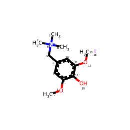 COc1cc(C[N+](C)(C)C)cc(OC)c1O.[I-]